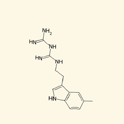 Cc1ccc2[nH]cc(CCNC(=N)NC(=N)N)c2c1